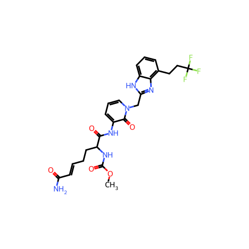 COC(=O)NC(CC/C=C/C(N)=O)C(=O)Nc1cccn(Cc2nc3c(CCC(F)(F)F)cccc3[nH]2)c1=O